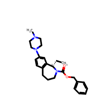 CC[C@H]1c2cc(N3CCN(C)CC3)ccc2CCCN1C(=O)OCc1ccccc1